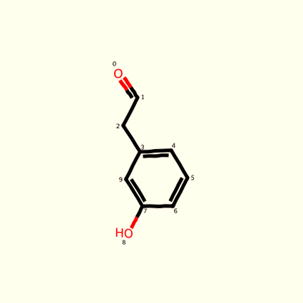 O=[C]Cc1cccc(O)c1